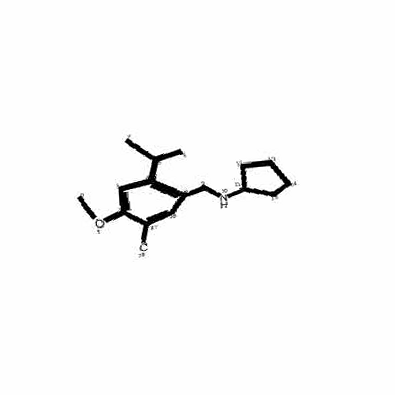 COc1cc(C(C)C)c(CNC2CCCC2)cc1Cl